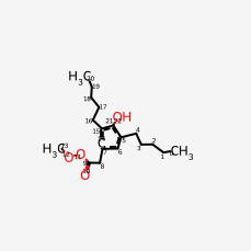 CCCCCc1cc(CC(=O)OOC)cc(CCCCC)c1O